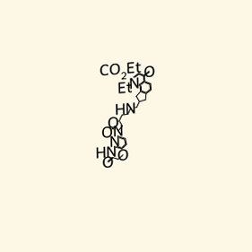 CCOC(=O)c1cn(CC)c2c3c(ccc2c1=O)CC(CNCCC1CN(c2ccc4c(n2)NC(=O)CO4)C(=O)O1)C3